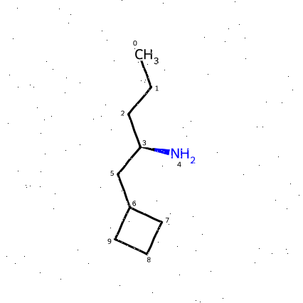 CCC[C@@H](N)CC1CCC1